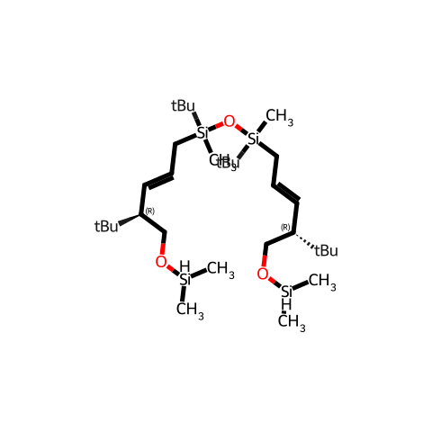 C[SiH](C)OC[C@H](C=CC[Si](C)(O[Si](C)(CC=C[C@@H](CO[SiH](C)C)C(C)(C)C)C(C)(C)C)C(C)(C)C)C(C)(C)C